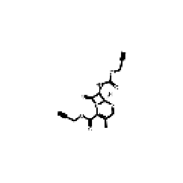 C#CCOC(=O)N[C@@H]1C(=O)N2C(C(=O)OCC#C)=C(C)CS[C@H]12